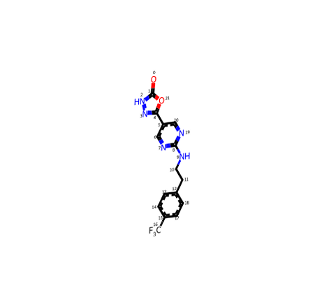 O=c1[nH]nc(-c2cnc(NCCc3ccc(C(F)(F)F)cc3)nc2)o1